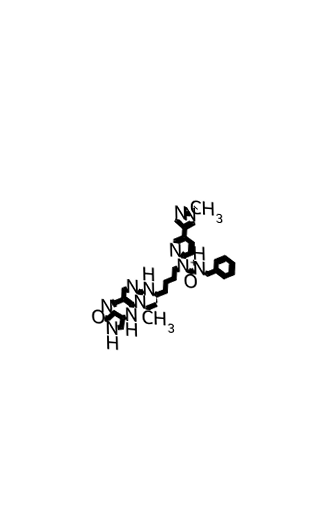 CCC[C@@H](CCC/C=[N+](\C(=O)NCc1ccccc1)c1ccc(-c2cnn(C)c2)cn1)Nc1ncc(C#N)c(NC2CNC(=O)C2)n1